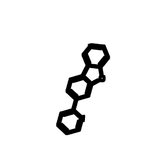 [c]1ccc2oc3cc(-c4ccccn4)ccc3c2c1